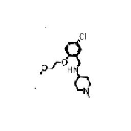 COCCOc1ccc(Cl)cc1CNC1CCN(C)CC1